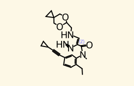 CCc1ccc(C#CC2CC2)cc1N(C)C(=O)/C(=C/NCC1OCC2(CC2)CO1)N=N